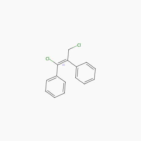 ClC/C(=C(\Cl)c1ccccc1)c1ccccc1